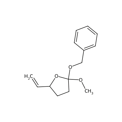 C=CC1CCC(OC)(OCc2ccccc2)O1